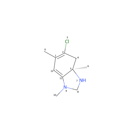 CC1=C(Cl)C[C@@]2(C)NCN(C)C2=C1